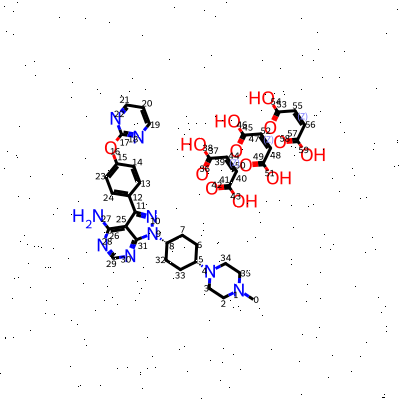 CN1CCN([C@H]2CC[C@@H](n3nc(-c4ccc(Oc5ncccn5)cc4)c4c(N)ncnc43)CC2)CC1.O=C(O)/C=C\C(=O)O.O=C(O)/C=C\C(=O)O.O=C(O)/C=C\C(=O)O